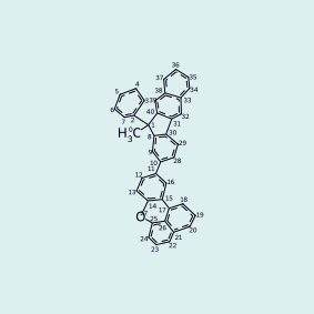 CC1(c2ccccc2)c2cc(-c3ccc4c(c3)-c3cccc5cccc(c35)O4)ccc2-c2cc3ccccc3cc21